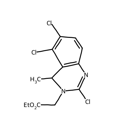 CCOC(=O)CN1C(Cl)=Nc2ccc(Cl)c(Cl)c2C1C